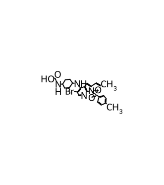 C/C=C/c1cc2c(NC3CCC(NC(=O)O)CC3)c(Br)cnc2n1S(=O)(=O)c1ccc(C)cc1